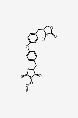 CCOON1C(=O)C(Cc2ccc(Oc3ccc(CC4COC(=O)N4CC)cc3)cc2)SC1=S